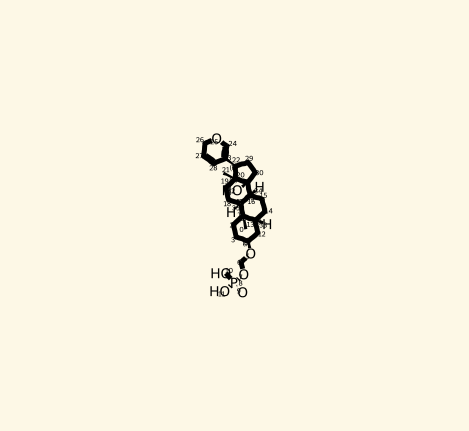 C[C@]12CC[C@H](OCOP(=O)(O)O)C[C@H]1CC[C@@H]1[C@@H]2CC[C@]2(C)[C@@H](C3=COCC=C3)CC[C@]12O